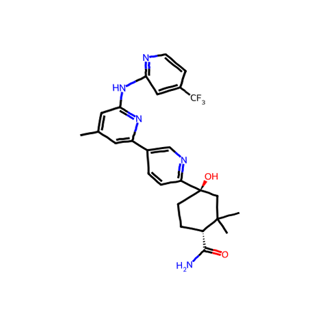 Cc1cc(Nc2cc(C(F)(F)F)ccn2)nc(-c2ccc([C@@]3(O)CC[C@@H](C(N)=O)C(C)(C)C3)nc2)c1